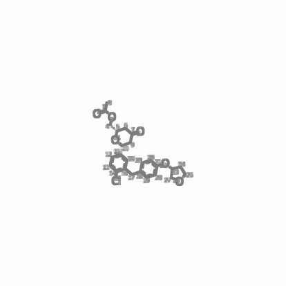 CC(=O)OC[C@@H]1CC(=O)C[C@H](c2ccc(Cl)c(Cc3ccc(O[C@H]4CCOC4)cc3)c2)O1